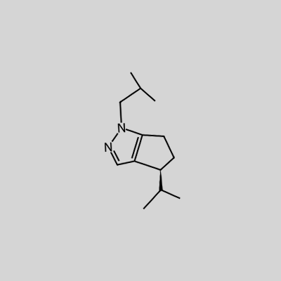 CC(C)Cn1ncc2c1CC[C@H]2C(C)C